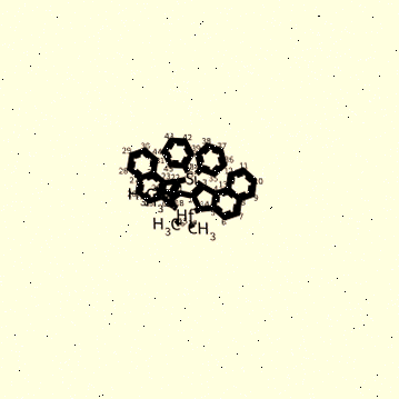 CCC1=C2c3c(ccc4ccccc34)[CH]1[Hf]([CH3])([CH3])[CH]1C(CC)=C(c3c1ccc1ccccc31)[Si]2(c1ccccc1)c1ccccc1